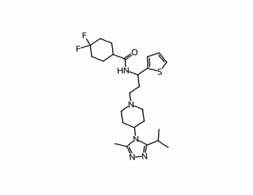 Cc1nnc(C(C)C)n1C1CCN(CCC(NC(=O)C2CCC(F)(F)CC2)c2cccs2)CC1